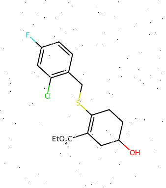 CCOC(=O)C1=C(SCc2ccc(F)cc2Cl)CCC(O)C1